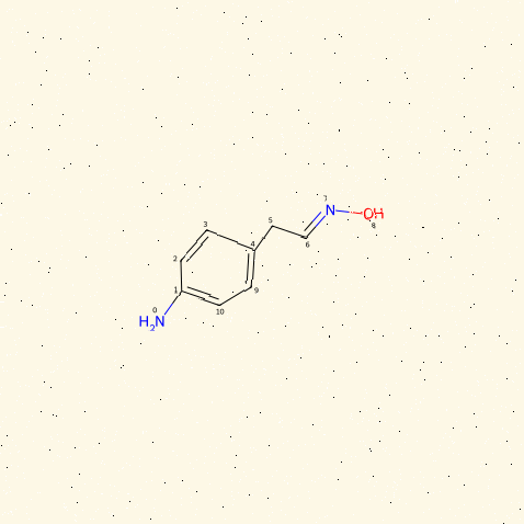 Nc1ccc(CC=NO)cc1